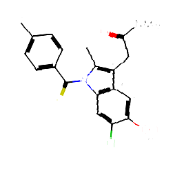 CNC(=O)Cc1c(C)n(C(=S)c2ccc(C)cc2)c2cc(Cl)c(O)cc12